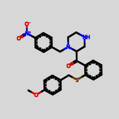 COc1ccc(CSc2ccccc2C(=O)C2CNCCN2Cc2ccc([N+](=O)[O-])cc2)cc1